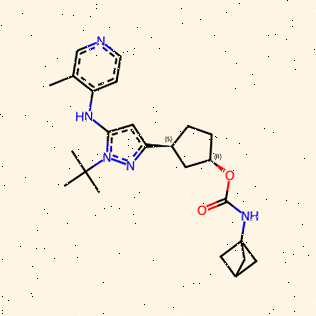 Cc1cnccc1Nc1cc([C@H]2CC[C@@H](OC(=O)NC34CC(C3)C4)C2)nn1C(C)(C)C